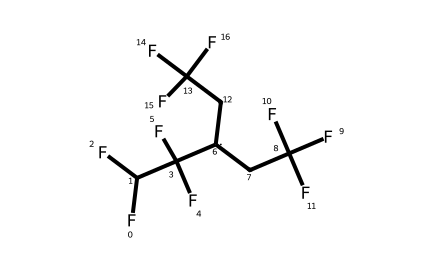 FC(F)C(F)(F)[C](CC(F)(F)F)CC(F)(F)F